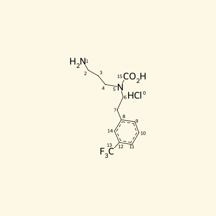 Cl.NCCCN(CCc1cccc(C(F)(F)F)c1)C(=O)O